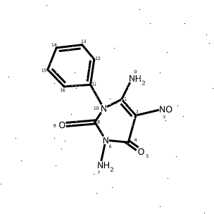 Nc1c(N=O)c(=O)n(N)c(=O)n1-c1ccccc1